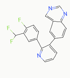 Fc1ccc(-c2ncccc2-c2ccc3ncncc3c2)cc1C(F)F